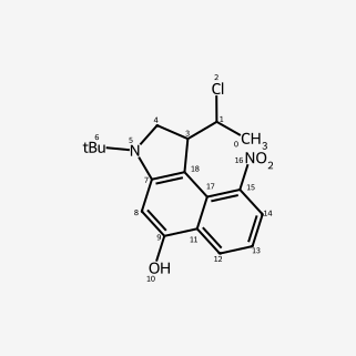 CC(Cl)C1CN(C(C)(C)C)c2cc(O)c3cccc([N+](=O)[O-])c3c21